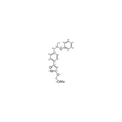 COCOc1cc(-c2ccc(CC(C)Oc3ccccc3)cc2)on1